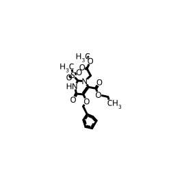 CCOC(=O)C1=C(OCc2ccccc2)C(=O)NC(S(C)(=O)=O)N1CC(=O)OC